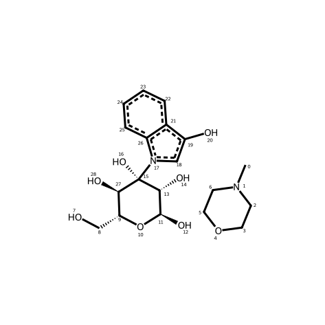 CN1CCOCC1.OC[C@H]1O[C@H](O)[C@@H](O)[C@](O)(n2cc(O)c3ccccc32)[C@@H]1O